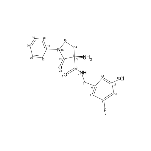 N[C@]1(C(=O)NCc2cc(F)cc(Cl)c2)CCN(c2ccccc2)C1=O